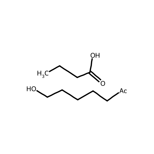 CC(=O)CCCCCO.CCCC(=O)O